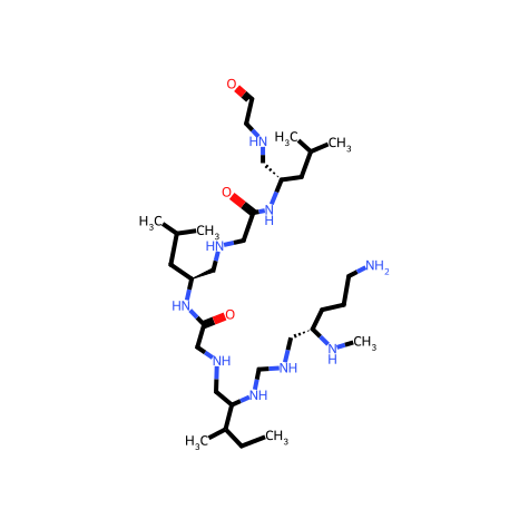 CCC(C)C(CNCC(=O)N[C@H](CNCC(=O)N[C@H](CNCC=O)CC(C)C)CC(C)C)NCNC[C@H](CCCN)NC